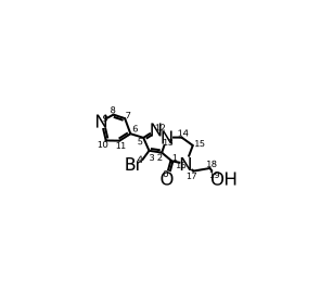 O=C1c2c(Br)c(-c3ccncc3)nn2CCN1CCO